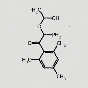 [CH2]C(O)OC(P)C(=O)c1c(C)cc(C)cc1C